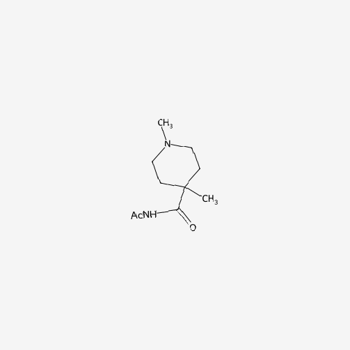 CC(=O)NC(=O)C1(C)CCN(C)CC1